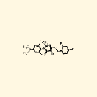 Cc1nc(OCc2ccc(F)cc2F)c(Br)c(=O)n1-c1c(F)cc(N(C)C)cc1F